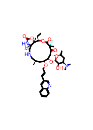 CC[C@H]1OC(=O)C(C)(F)C(=O)[C@H](C)[C@@H](O[C@@H]2OC(C)CC(N(C)C)C2O)[C@H](OC/C=C/c2cnc3ccccc3c2)C[C@@H](C)CN[C@H](C)[C@H]2NC(=O)O[C@@]21C